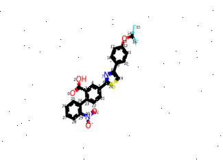 O=C(O)c1cc(-c2nc(-c3ccc(OC(F)F)cc3)cs2)ccc1-c1ccccc1[N+](=O)[O-]